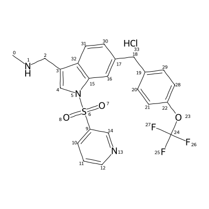 CNCc1cn(S(=O)(=O)c2cccnc2)c2cc(Cc3ccc(OC(F)(F)F)cc3)ccc12.Cl